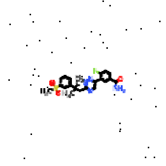 CC(C)(Cc1ncc(-c2cc(C(N)=O)ccc2F)nn1)c1cccc(S(C)(=O)=O)c1